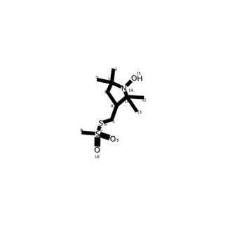 CC1(C)CC(CSS(C)(=O)=O)C(C)(C)N1O